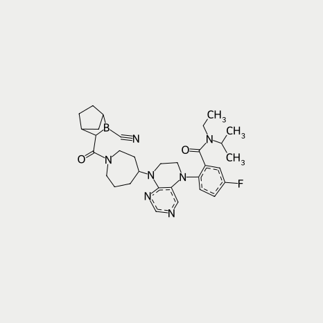 CCN(C(=O)c1cc(F)ccc1N1CCN(C2CCCN(C(=O)C3B(C#N)C4CCC3C4)CC2)c2ncncc21)C(C)C